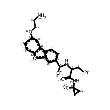 CC(C)CC(NC(c1ccc2c(c1)oc1ccc(OCCN)cc12)C(F)(F)F)C(=O)NC1(C#N)CC1